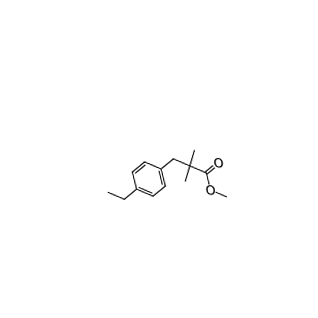 CCc1ccc(CC(C)(C)C(=O)OC)cc1